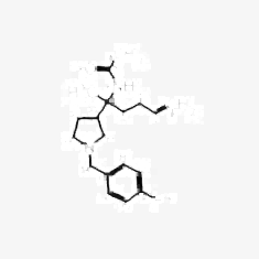 C=CCCC(C)(NC(C)=O)C1CCN(Cc2ccc(F)cc2)C1